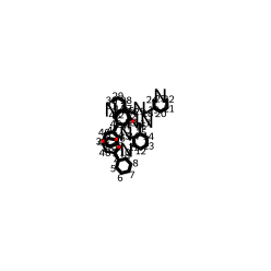 C1=Cc2c(c3ccccc3n2-c2cccc(-c3nc(-c4cccnc4)nc(-c4cccnc4)n3)c2-n2c3ccccc3c3ccccc32)CC1